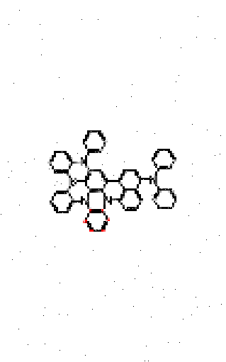 c1ccc(N2c3ccccc3B3c4ccccc4N(c4ccccc4)c4c3c2cc2c4N(c3ccccc3)c3cccc4c(N(c5ccccc5)c5ccccc5)ccc-2c34)cc1